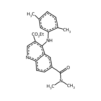 CCOC(=O)c1cnc2ccc(C(=O)N(C)C)cc2c1Nc1cc(C)ccc1C